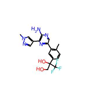 Cc1ccc(C(O)(CO)C(F)(F)F)cc1-c1cnc(N)c(-c2cnn(C)c2)n1